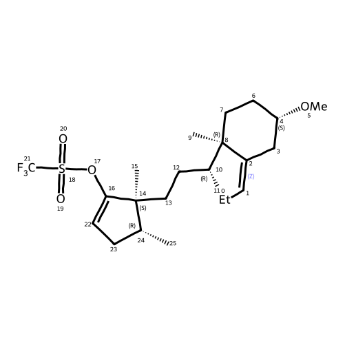 CC/C=C1/C[C@@H](OC)CC[C@]1(C)[C@H](C)CC[C@]1(C)C(OS(=O)(=O)C(F)(F)F)=CC[C@H]1C